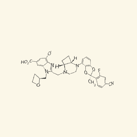 C[C@@]1(c2ccc(C#N)cc2F)Oc2cccc(N3CCN(Cc4nc5c(Cl)cc(C(=O)O)cc5n4C[C@@H]4CCO4)[C@@H]4CC[C@@H]43)c2O1